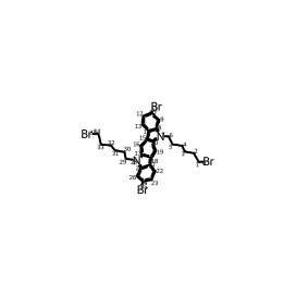 BrCCCCCCn1c2cc(Br)ccc2c2cc3c(cc21)c1ccc(Br)cc1n3CCCCCCBr